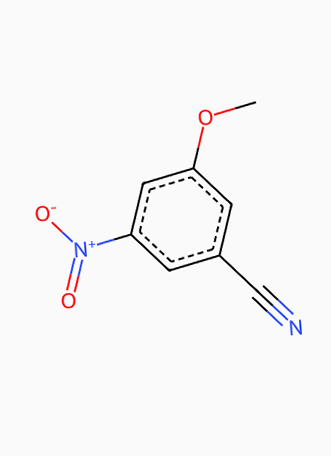 COc1cc(C#N)cc([N+](=O)[O-])c1